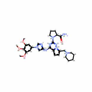 COc1cc(-n2cnc(Nc3nc(N4CCCC4C(N)=O)nn4c(CN5CCCCC5)ccc34)c2)cc(OC)c1OC